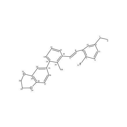 CCc1ccc(F)c(/C=C/c2cccc(-c3ccc4c(c3)OCCO4)c2C)c1